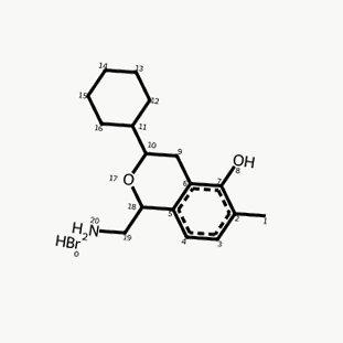 Br.Cc1ccc2c(c1O)CC(C1CCCCC1)OC2CN